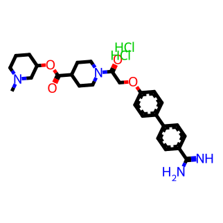 CN1CCCC(OC(=O)C2CCN(C(=O)COc3ccc(-c4ccc(C(=N)N)cc4)cc3)CC2)C1.Cl.Cl